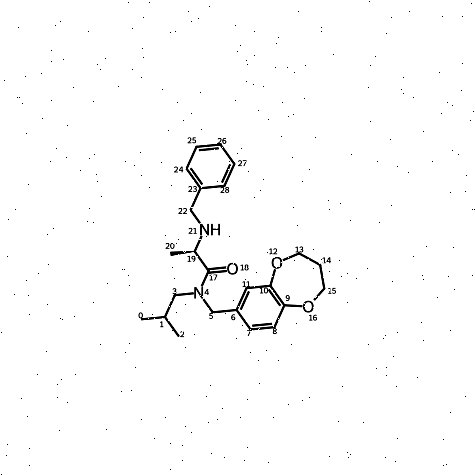 CC(C)CN(Cc1ccc2c(c1)OCCCO2)C(=O)[C@@H](C)NCc1ccccc1